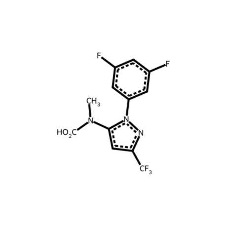 CN(C(=O)O)c1cc(C(F)(F)F)nn1-c1cc(F)cc(F)c1